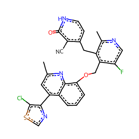 Cc1cc(-c2ncsc2Cl)c2cccc(OCc3c(F)cnc(C)c3Cc3cc[nH]c(=O)c3C#N)c2n1